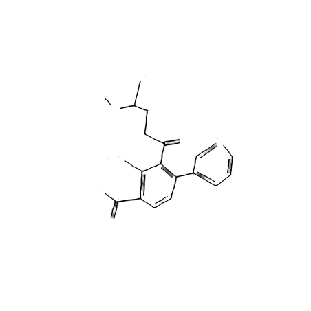 COC(C)CCC(=O)c1c(-c2cccnc2)ccc(C(N)=O)c1N